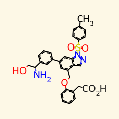 Cc1ccc(S(=O)(=O)n2ncc3c(COc4ccccc4CC(=O)O)cc(-c4cccc([C@H](N)CO)c4)cc32)cc1